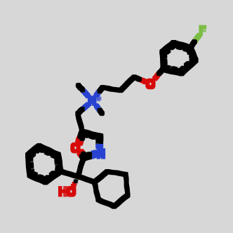 C[N+](C)(CCCOc1ccc(F)cc1)Cc1cnc([C@](O)(c2ccccc2)C2CCCCC2)o1